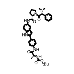 C[C@H](NC(=O)OC(C)(C)C)C(=O)Nc1ccc(-c2cc3cc(NC(=O)[C@@H]4CCCN4C(=O)[C@@H](c4ccccc4)N(C)C)ccc3[nH]2)cc1